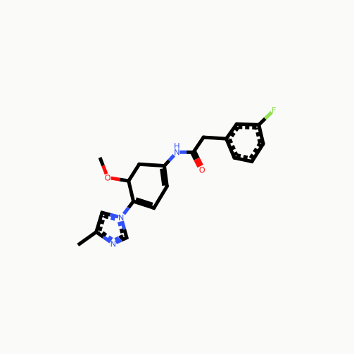 COC1CC(NC(=O)Cc2cccc(F)c2)=CC=C1n1cnc(C)c1